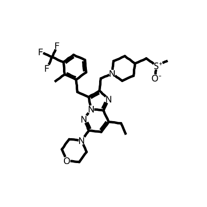 CCc1cc(N2CCOCC2)nn2c(Cc3cccc(C(F)(F)F)c3C)c(CN3CCC(C[S+](C)[O-])CC3)nc12